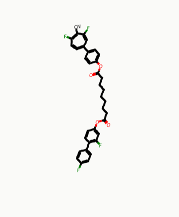 N#CC1=C(F)C=C=C(c2ccc(OC(=O)CCCCCCCC(=O)Oc3ccc(-c4ccc(F)cc4)c(F)c3)cc2)C=C1F